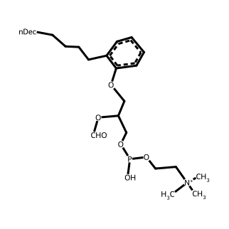 CCCCCCCCCCCCCCc1ccccc1OCC(COP(O)OCC[N+](C)(C)C)OC=O